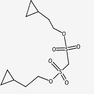 O=S(=O)(CS(=O)(=O)OCCC1CC1)OCCC1CC1